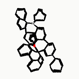 c1ccc(-c2ccc3c(c2)C2(c4ccccc4-c4cccc5cccc2c45)c2cccc4c(N(c5ccccc5)c5c(-c6ccccc6)ccc6ccccc56)ccc-3c24)cc1